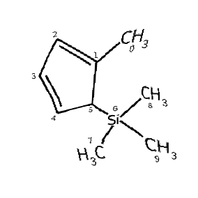 CC1=CC=CC1[Si](C)(C)C